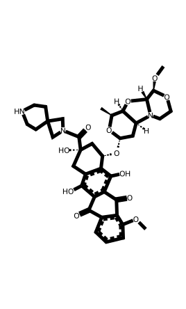 COc1cccc2c1C(=O)c1c(O)c3c(c(O)c1C2=O)C[C@@](O)(C(=O)N1CC2(CCNCC2)C1)C[C@@H]3O[C@H]1C[C@H]2[C@H](O[C@@H]3[C@@H](OC)OCCN32)[C@H](C)O1